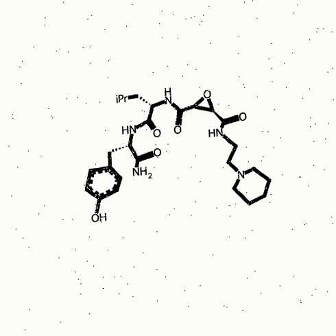 CC(C)C[C@H](NC(=O)C1O[C@H]1C(=O)NCCN1CCCCC1)C(=O)N[C@@H](Cc1ccc(O)cc1)C(N)=O